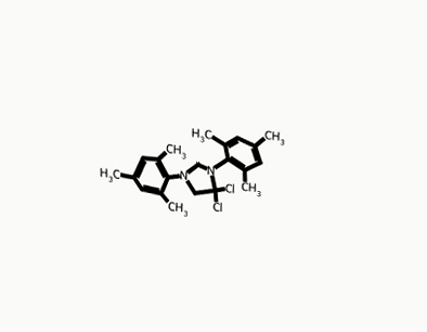 Cc1cc(C)c(N2[C]N(c3c(C)cc(C)cc3C)C(Cl)(Cl)C2)c(C)c1